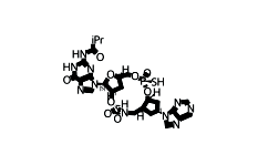 CC(C)C(=O)Nc1nc2c(ncn2[C@H]2O[C@@H]3CO[P@@](=O)(S)O[C@H]4C[C@H](n5cnc6cncnc65)C[C@@H]4CNS(=O)(=O)O[C@@H]2C3)c(=O)[nH]1